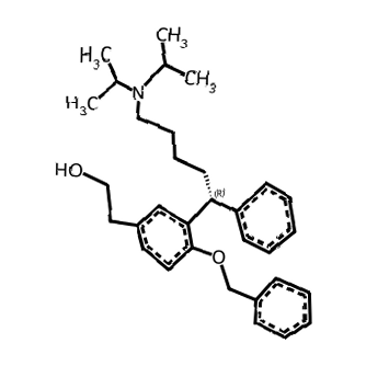 CC(C)N(CCCC[C@H](c1ccccc1)c1cc(CCO)ccc1OCc1ccccc1)C(C)C